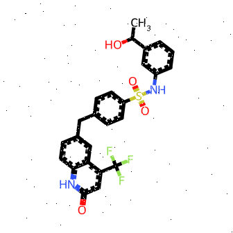 CC(O)c1cccc(NS(=O)(=O)c2ccc(Cc3ccc4[nH]c(=O)cc(C(F)(F)F)c4c3)cc2)c1